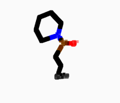 COCC[S+]([O-])N1CCCCC1